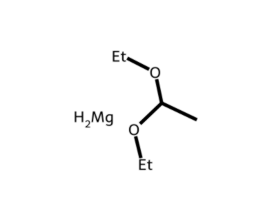 CCOC(C)OCC.[MgH2]